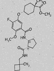 COc1cc(F)c(O[C@H]2CC[C@@](C)(C(=O)OC)CC2)cc1C(=O)N[C@@H]1CCC[C@@H]1C(=O)NCC1(C)CCC1